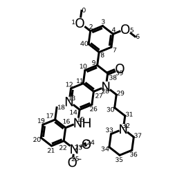 COc1cc(OC)cc(-c2cc3cnc(Nc4c(C)cccc4[N+](=O)[O-])cc3n(CCCN3CCCCC3)c2=O)c1